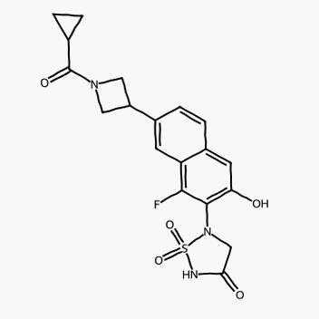 O=C1CN(c2c(O)cc3ccc(C4CN(C(=O)C5CC5)C4)cc3c2F)S(=O)(=O)N1